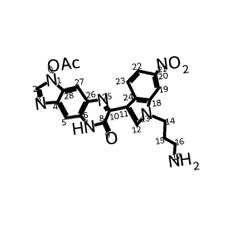 CC(=O)On1cnc2cc3[nH]c(=O)c(-c4cn(CCCN)c5cc([N+](=O)[O-])ccc45)nc3cc21